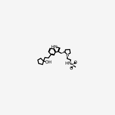 CS(=O)(=O)NCCN1CCC[C@@H]1Cc1c[nH]c2ccc(CCC3(O)CCCC3)cc12